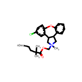 CCCCCCCCCCCCC(C)(C)C(=O)OC[N+]1(C)CC2c3ccccc3Oc3ccc(Cl)cc3C2C1